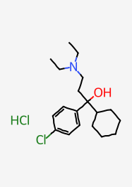 CCN(CC)CCC(O)(c1ccc(Cl)cc1)C1CCCCC1.Cl